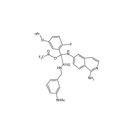 CCCOc1ccc(F)c(C(Nc2ccc3c(N)nccc3c2)(OC(=O)C(F)(F)F)C(=O)NCc2cccc(NC(C)=O)c2)c1